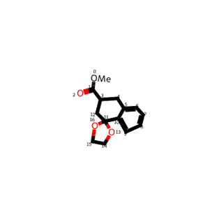 COC(=O)C1Cc2ccccc2C2(C1)OCCO2